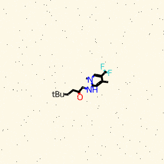 CC1=CC(NCC(=O)CCC(C)(C)C)N(C)C=C1C(F)F